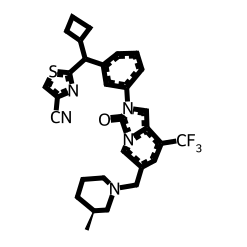 C[C@H]1CCCN(Cc2cc(C(F)(F)F)c3cn(-c4cccc(C(c5nc(C#N)cs5)C5CCC5)c4)c(=O)n3c2)C1